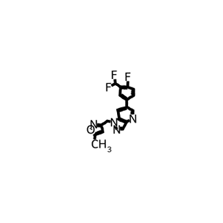 Cc1cc(Cn2ncc3ncc(-c4ccc(F)c(C(F)F)c4)cc32)no1